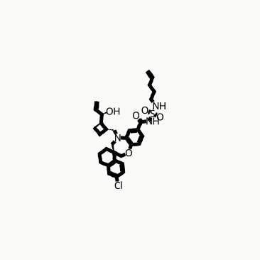 C=CCCCNS(=O)(=O)NC(=O)c1ccc2c(c1)N(C[C@@H]1CC[C@H]1[C@@H](O)C=C)C[C@@]1(CCCc3cc(Cl)ccc31)CO2